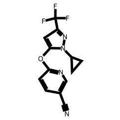 N#Cc1ccc(Oc2cc(C(F)(F)F)nn2C2CC2)nc1